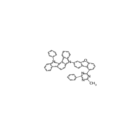 Cc1nc(-c2ccccc2)nc(-c2cccc3oc4cc(-n5c6ccccc6c6c5ccc5c7ccccc7n(-c7ccccc7)c56)ccc4c23)n1